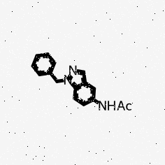 CC(=O)Nc1ccc2c(cnn2Cc2ccccc2)c1